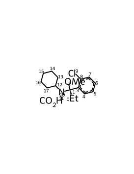 CC[C@@](OC)(c1ccccc1Cl)N(C(=O)O)C1CCCCC1